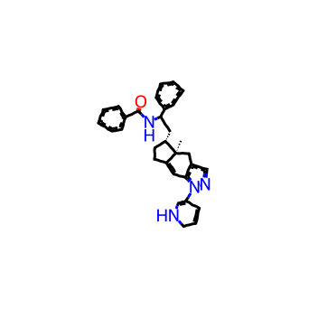 C[C@]12Cc3cnn(C4=CNCC=C4)c3C=C1CC[C@@H]2CC(NC(=O)c1ccccc1)c1ccccc1